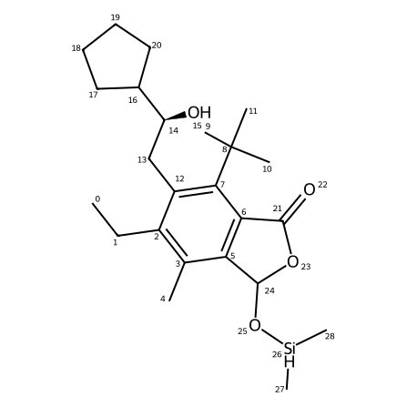 CCc1c(C)c2c(c(C(C)(C)C)c1C[C@H](O)C1CCCC1)C(=O)OC2O[SiH](C)C